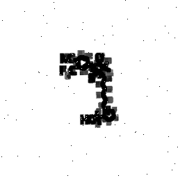 CC(C)(O)C1CCCN1CCCCCCN1C(=S)N(c2ccc(C#N)c(C(F)(F)F)c2)C(=O)C1(C)C